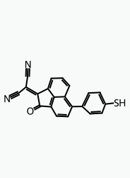 N#CC(C#N)=c1c(=O)c2ccc(-c3ccc(S)cc3)c3cccc1c32